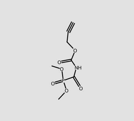 C#CCOC(=O)NC(=O)P(=O)(OC)OC